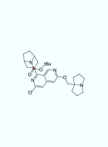 CC(C)(C)OC(=O)N1C2CCC1CN(c1nc(Cl)cc3cc(OCC45CCCN4CCC5)ncc13)C2